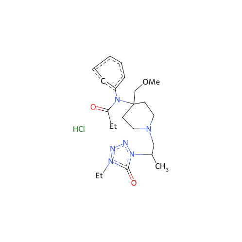 CCC(=O)N(c1ccccc1)C1(COC)CCN(CC(C)n2nnn(CC)c2=O)CC1.Cl